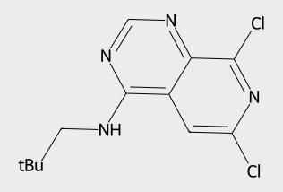 CC(C)(C)CNc1ncnc2c(Cl)nc(Cl)cc12